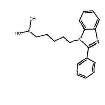 OB(O)CCCCCn1c(-c2ccccc2)nc2ccccc21